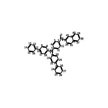 CN(c1ccc(N(c2ccc(-c3ccccc3)cc2)c2ccc(-c3ccccc3)cc2)cc1)c1ccc2ccccc2c1